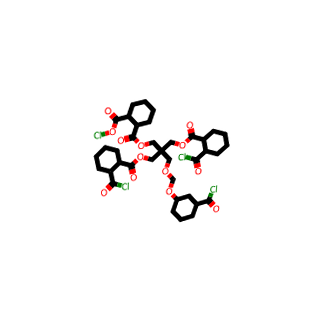 O=C(Cl)C1CCCC(OCOCC(COC(=O)C2CCCCC2C(=O)Cl)(COC(=O)C2CCCCC2C(=O)Cl)COC(=O)C2CCCCC2C(=O)OCl)C1